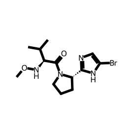 CON[C@H](C(=O)N1CCC[C@H]1c1ncc(Br)[nH]1)C(C)C